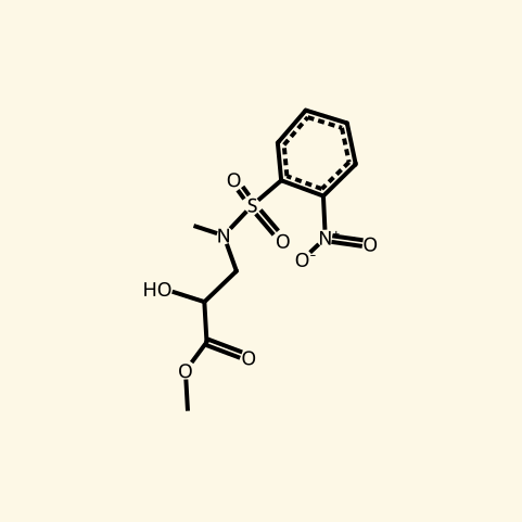 COC(=O)C(O)CN(C)S(=O)(=O)c1ccccc1[N+](=O)[O-]